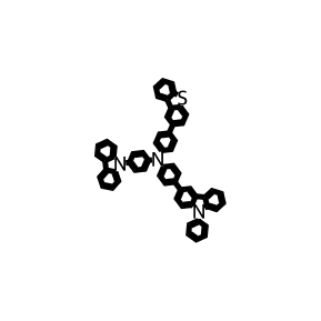 c1ccc(-n2c3ccccc3c3cc(-c4ccc(N(c5ccc(-c6ccc7sc8ccccc8c7c6)cc5)c5ccc(-n6c7ccccc7c7ccccc76)cc5)cc4)ccc32)cc1